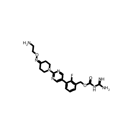 N=C(N)NC(=O)OCc1cccc(-c2cnc(N3CCC(=NOCCN)CC3)nc2)c1F